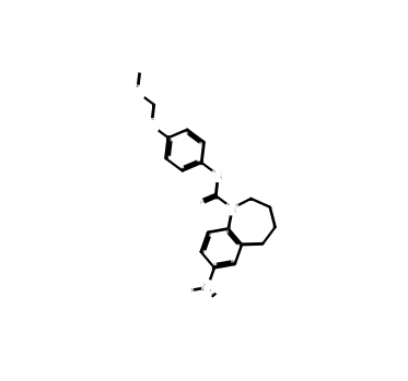 COCOc1ccc(NC(=O)N2CCCCc3cc([N+](=O)[O-])ccc32)cc1